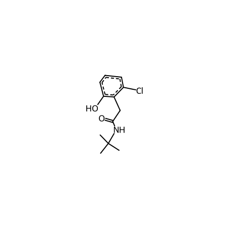 CC(C)(C)NC(=O)Cc1c(O)cccc1Cl